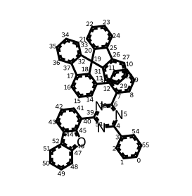 c1ccc(-c2nc(-c3ccccc3-c3cccc4c3C3(c5ccccc5-c5ccccc53)c3ccccc3-4)nc(-c3cccc4c3oc3ccccc34)n2)cc1